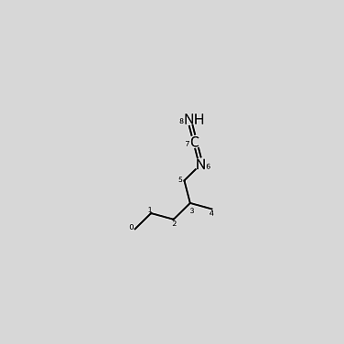 CCCC(C)CN=C=N